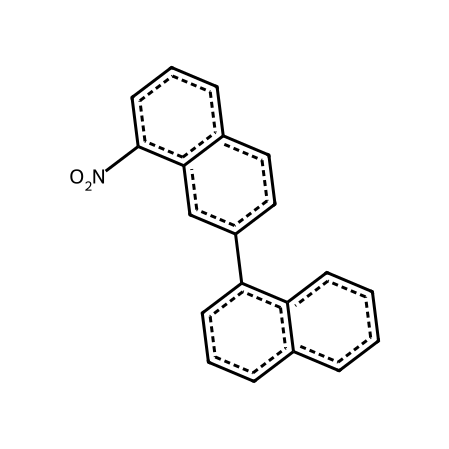 O=[N+]([O-])c1cccc2ccc(-c3cccc4ccccc34)cc12